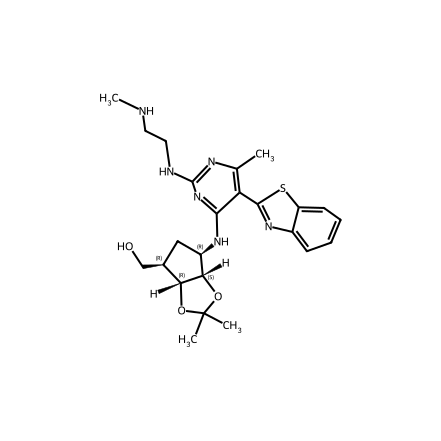 CNCCNc1nc(C)c(-c2nc3ccccc3s2)c(N[C@@H]2C[C@H](CO)[C@H]3OC(C)(C)O[C@H]32)n1